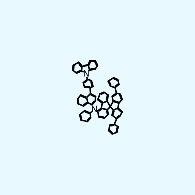 c1ccc(-c2ccc3c(c2)C2(c4cc(-c5ccccc5)ccc4-3)c3ccccc3-c3c(N(c4ccccc4)c4ccc(-c5ccc(-n6c7ccccc7c7ccccc76)cc5)c5ccccc45)cccc32)cc1